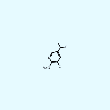 COc1ncc(C(F)F)cc1Cl